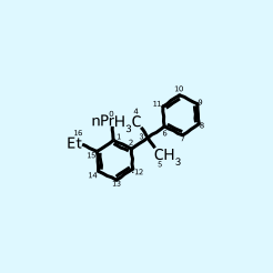 CCCc1c(C(C)(C)c2ccccc2)[c]ccc1CC